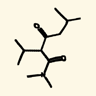 CC(C)CC(=O)C(C(=O)N(C)C)C(C)C